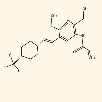 C=CC(=O)Nc1cc(/C=C/[C@H]2CC[C@H](C(F)(F)F)CC2)c(OC)nc1CO